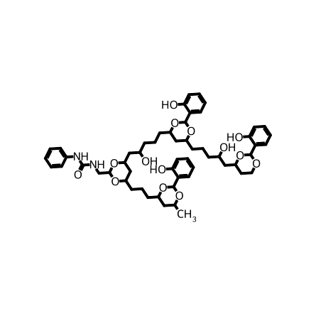 CC1CC(CCCC2CC(CC(O)CCCC3CC(CCCC(O)CC4CCOC(c5ccccc5O)O4)OC(c4ccccc4O)O3)OC(CNC(=O)Nc3ccccc3)O2)OC(c2ccccc2O)O1